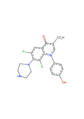 O=C(O)c1cn(-c2ccc(O)cc2)c2c(F)c(N3CCNCC3)c(F)cc2c1=O